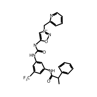 CC(C(=O)Nc1cc(NC(=O)[N-]c2c[n+](Cc3ccccn3)no2)cc(C(F)(F)F)c1)c1ccccc1